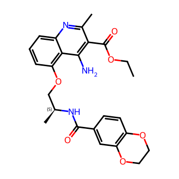 CCOC(=O)c1c(C)nc2cccc(OC[C@H](C)NC(=O)c3ccc4c(c3)OCCO4)c2c1N